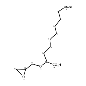 CCCCCCCCCCCCCCCCC(OCC1CO1)C(=O)O